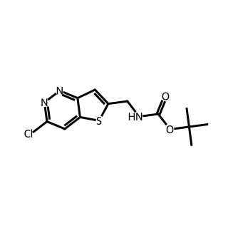 CC(C)(C)OC(=O)NCc1cc2nnc(Cl)cc2s1